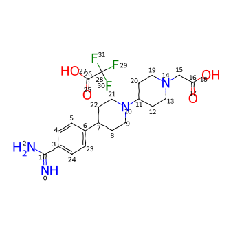 N=C(N)c1ccc(C2CCN(C3CCN(CC(=O)O)CC3)CC2)cc1.O=C(O)C(F)(F)F